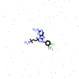 CC(C)(N)CCC(C)(C)n1c(Nc2ccc(Cl)c(C(F)(F)F)c2)nc2cnc(N)nc21